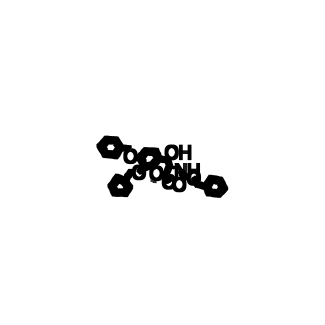 COC(=O)[C@@H](NC(=O)OCc1ccccc1)C(O)c1ccc(OCc2ccccc2)c(OCc2ccccc2)c1